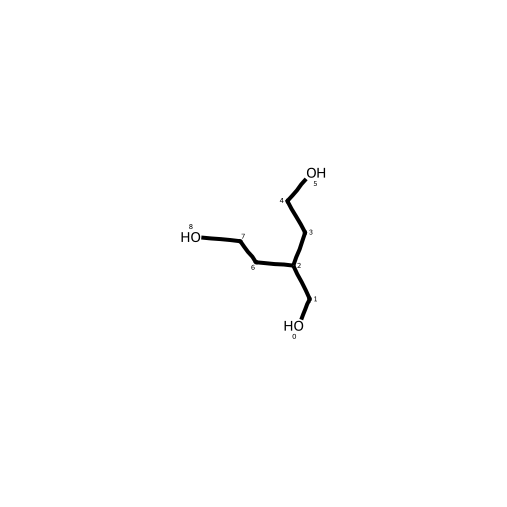 O[CH]C(CCO)CCO